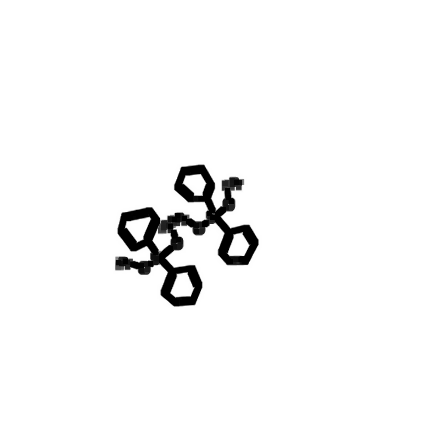 CC(C)O[Si](OC(C)C)(c1ccccc1)c1ccccc1.CCCO[Si](OCCC)(c1ccccc1)c1ccccc1